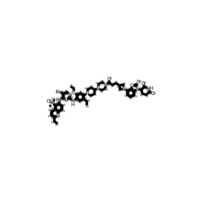 CCOc1cc(N2CCC(N3CCN(C(=O)CCC4CN(c5cccc6c5oc(=O)n6C5CCC(=O)NC5=O)C4)CC3)CC2)c(CC)cc1Nc1ncc(Br)c(Nc2ccc3nc(CC)ccc3c2P(C)(C)=O)n1